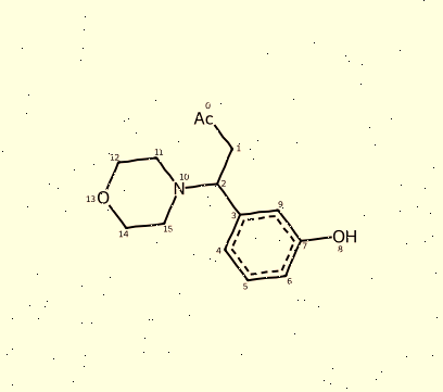 CC(=O)CC(c1cccc(O)c1)N1CCOCC1